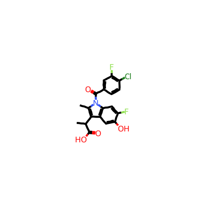 Cc1c(C(C)C(=O)O)c2cc(O)c(F)cc2n1C(=O)c1ccc(Cl)c(F)c1